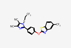 N#Cc1nc(-c2ccc(Oc3nc4cc(C(F)(F)F)ccc4s3)cc2)n(CCC(F)(F)F)c1C#N